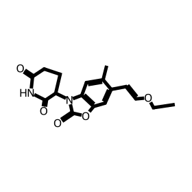 CCO/C=C/c1cc2oc(=O)n(C3CCC(=O)NC3=O)c2cc1C